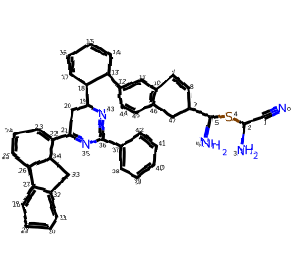 N#CC(N)SC(N)C1C=Cc2cc(C3C=CC=CC3C3CC(C4=CC=CC5c6ccccc6CC45)=NC(c4ccccc4)=N3)ccc2C1